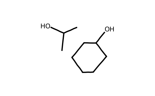 CC(C)O.OC1CCCCC1